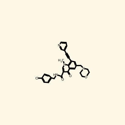 Cn1cc(C(=O)NCc2ccc(Cl)cc2)c(=O)c2cc(CN3CCOCC3)cc(C#Cc3cccnc3)c21